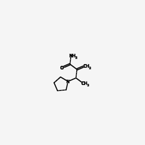 C=C(C(N)=O)C(C)N1CCCC1